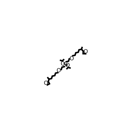 CC(C)O[Si](CCCOCCCCCC(C)C1CCO1)(CCCOCCCCCC(C)C1CCO1)OC(C)C